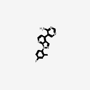 Cc1cc(F)ccc1-n1ncc2c(-c3cncnc3N)ccnc21